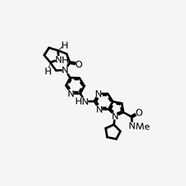 CNC(=O)c1cc2cnc(Nc3ccc(N4C[C@H]5CC[C@@H](CC4=O)N5)cn3)nc2n1C1CCCC1